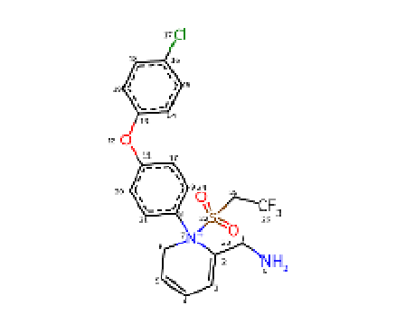 NCC1=CC=CC[N+]1(c1ccc(Oc2ccc(Cl)cc2)cc1)S(=O)(=O)CC(F)(F)F